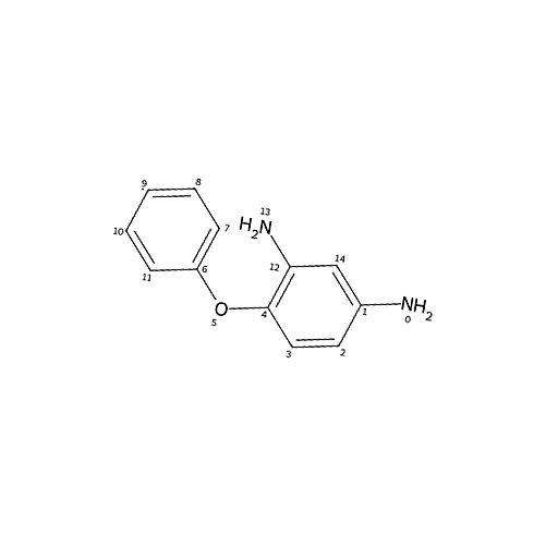 Nc1ccc(Oc2cc[c]cc2)c(N)c1